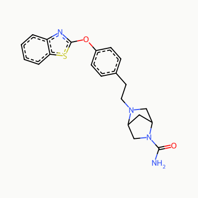 NC(=O)N1CC2CC1CN2CCc1ccc(Oc2nc3ccccc3s2)cc1